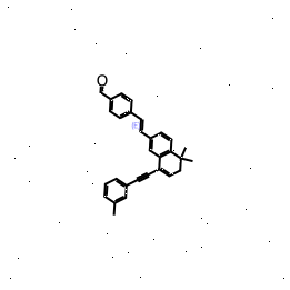 Cc1cccc(C#CC2=CCC(C)(C)c3ccc(/C=C/c4ccc(C=O)cc4)cc32)c1